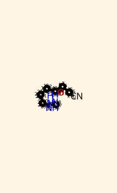 N#Cc1ccc(-c2cccc3c2oc2ccc(-c4cccc(-c5cccc(-c6cccc(C(=N)NC7C=CC=CN7)c6)c5)c4)cc23)cc1